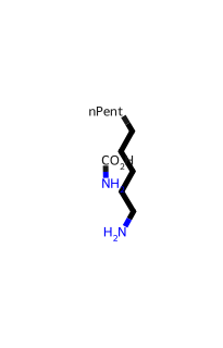 CCCCCCCCCCN.NC(=O)O